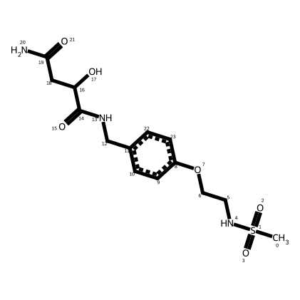 CS(=O)(=O)NCCOc1ccc(CNC(=O)C(O)CC(N)=O)cc1